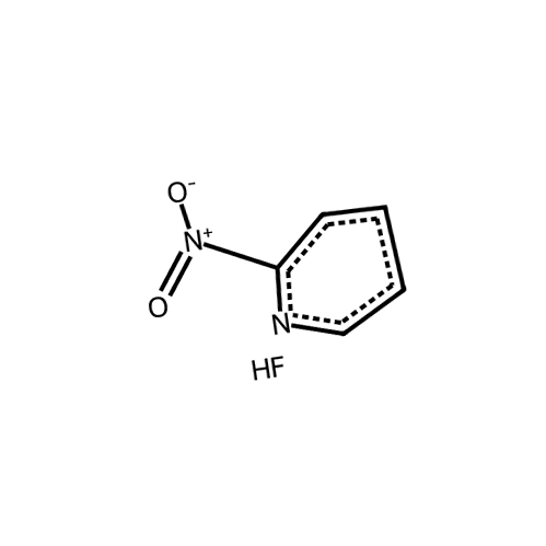 F.O=[N+]([O-])c1ccccn1